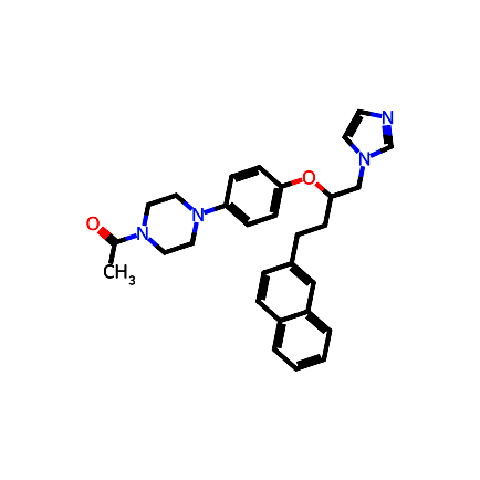 CC(=O)N1CCN(c2ccc(OC(CCc3ccc4ccccc4c3)Cn3ccnc3)cc2)CC1